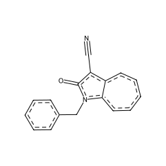 N#Cc1c2cccccc-2n(Cc2ccccc2)c1=O